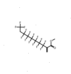 C=C(C(=O)OC)C(F)(F)C(F)(F)C(F)(F)C(F)(F)C(F)(F)C(F)(F)CC(F)(F)F